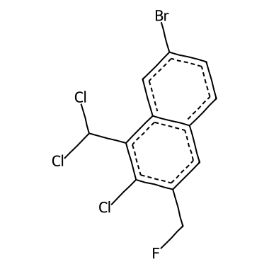 FCc1cc2ccc(Br)cc2c(C(Cl)Cl)c1Cl